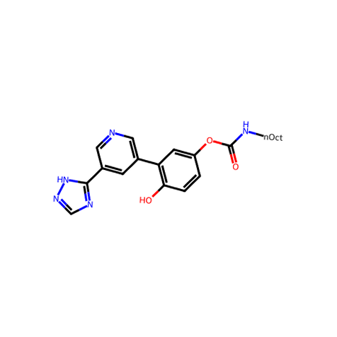 CCCCCCCCNC(=O)Oc1ccc(O)c(-c2cncc(-c3ncn[nH]3)c2)c1